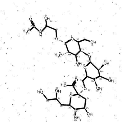 CC(=O)NC(C)CO[C@@H]1OC(CO)[C@@H](O[C@@H]2OC(CO[C@]3(C(=O)O)C[C@@H](O)[C@@H](N)C(C[C@H](O)CO)O3)[C@H](O)C(O)[C@@H]2O)C(O)[C@@H]1C